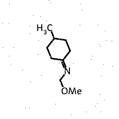 COCN=C1CCC(C)CC1